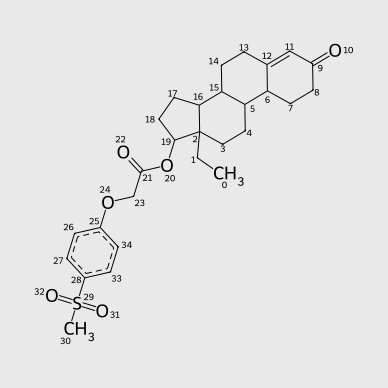 CCC12CCC3C4CCC(=O)C=C4CCC3C1CCC2OC(=O)COc1ccc(S(C)(=O)=O)cc1